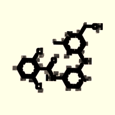 Cc1nc(CO)cc(Nc2cc(NC(=O)c3c(Cl)cccc3Cl)ccn2)n1